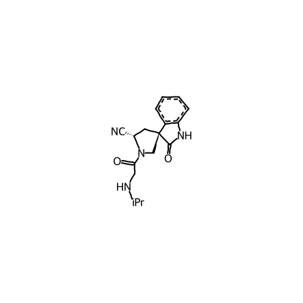 CC(C)NCC(=O)N1C[C@]2(C[C@H]1C#N)C(=O)Nc1ccccc12